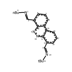 CCCC/N=C/c1cccc2c1nnc1c(/C=N/C(C)(C)C)cccc12